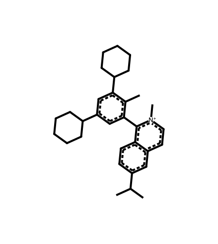 Cc1c(-c2c3ccc(C(C)C)cc3cc[n+]2C)cc(C2CCCCC2)cc1C1CCCCC1